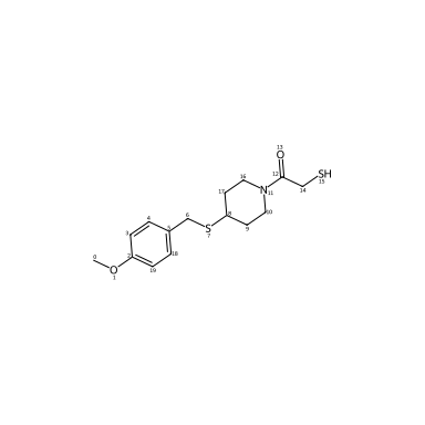 COc1ccc(CSC2CCN(C(=O)CS)CC2)cc1